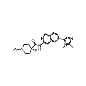 Cc1ncc(-c2ccc3cnc(NC(=O)C4(F)CCN(C(C)C)CC4)cc3c2)n1C